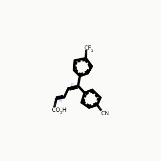 N#Cc1ccc(/C(=C\C=C\C(=O)O)c2ccc(C(F)(F)F)cc2)cc1